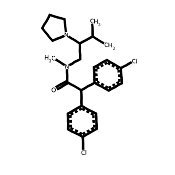 CC(C)C(CN(C)C(=O)C(c1ccc(Cl)cc1)c1ccc(Cl)cc1)N1CCCC1